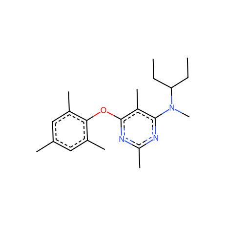 CCC(CC)N(C)c1nc(C)nc(Oc2c(C)cc(C)cc2C)c1C